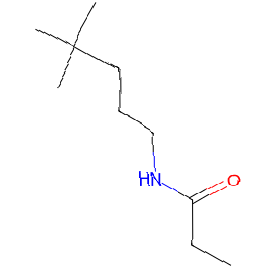 CCC(=O)NCCCC(C)(C)C